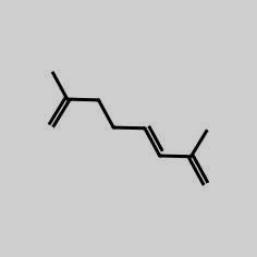 C=C(C)C=CCCC(=C)C